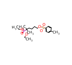 CCOP(=O)(OCC)C(C)(C)CCCCOS(=O)(=O)c1ccc(C)cc1